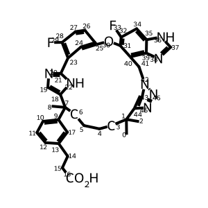 CC1(C)CCCCC(C)(c2cccc(CCC(=O)O)c2)c2cnc([nH]2)-c2cc(ccc2F)Oc2c(F)cc3[nH]cnc3c2Cn2cc1nn2